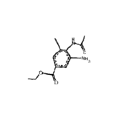 CCOC(=O)c1cc(C)c(NC(C)=O)c(N)c1